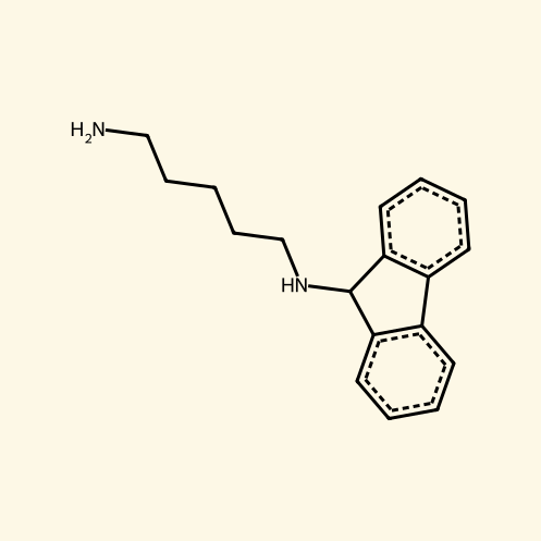 NCCCCCNC1c2ccccc2-c2ccccc21